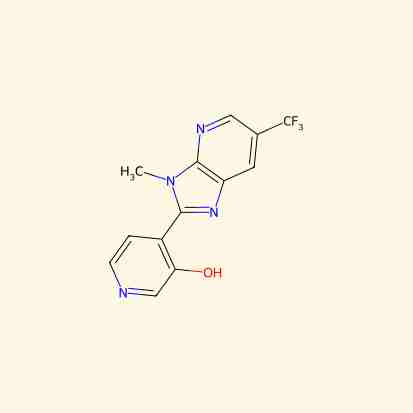 Cn1c(-c2ccncc2O)nc2cc(C(F)(F)F)cnc21